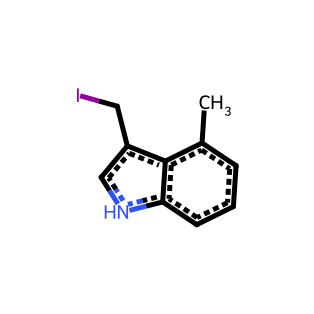 Cc1cccc2[nH]cc(CI)c12